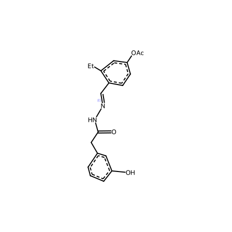 CCc1cc(OC(C)=O)ccc1/C=N/NC(=O)Cc1cccc(O)c1